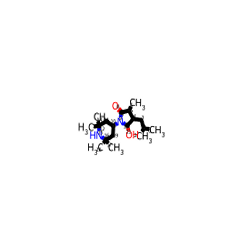 CC(C)CC1C(C)C(=O)N(C2CC(C)(C)NC(C)(C)C2)C1O